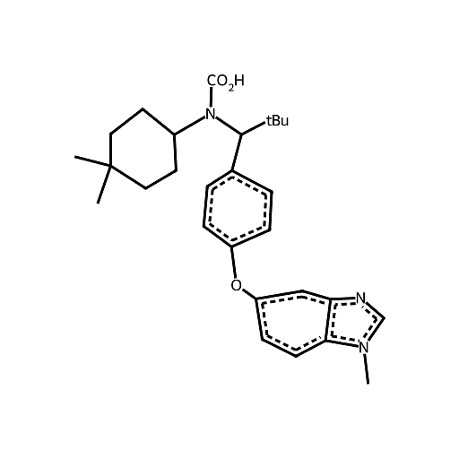 Cn1cnc2cc(Oc3ccc(C(N(C(=O)O)C4CCC(C)(C)CC4)C(C)(C)C)cc3)ccc21